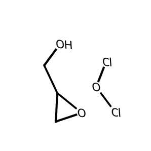 ClOCl.OCC1CO1